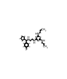 C=CCNc1nc(NCC=C)nc(NCCNC(c2ccc(F)cc2)C2CCCC2)n1